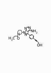 C=CC(=O)N1CCC[C@@H](n2nc(-c3ccc(C#CCO)cc3)c3c(N)ncnc32)C1